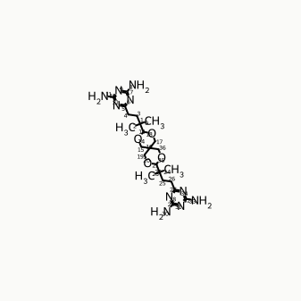 CC(C)(CCc1nc(N)nc(N)n1)C1OCC2(CO1)COC(C(C)(C)CCc1nc(N)nc(N)n1)OC2